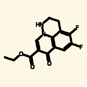 CCOC(=O)c1cn2c3c(c(F)c(F)cc3c1=O)CCN2